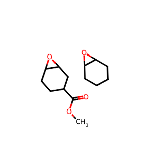 C1CCC2OC2C1.COC(=O)C1CCC2OC2C1